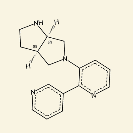 c1cncc(-c2ncccc2N2C[C@H]3CCN[C@H]3C2)c1